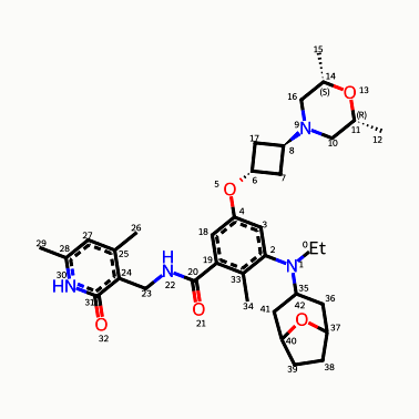 CCN(c1cc(O[C@H]2C[C@H](N3C[C@@H](C)O[C@@H](C)C3)C2)cc(C(=O)NCc2c(C)cc(C)[nH]c2=O)c1C)C1CC2CCC(C1)O2